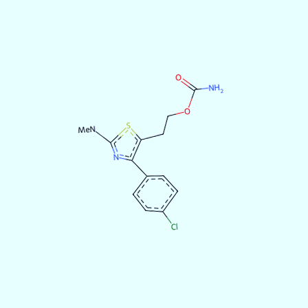 CNc1nc(-c2ccc(Cl)cc2)c(CCOC(N)=O)s1